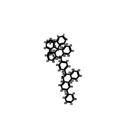 Cc1ccccc1C1(c2ccccc2C)c2ccccc2N(c2ccc(-c3nc4ccc(-c5ccccc5)cc4c4ccccc34)cc2)c2ccccc21